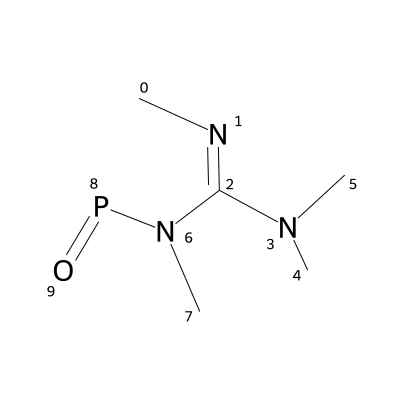 CN=C(N(C)C)N(C)P=O